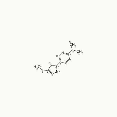 CCc1cnc(-c2ccc(C(C)C)cc2)s1